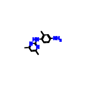 Cc1cc(C)nc(Nc2ccc(N)cc2C)n1